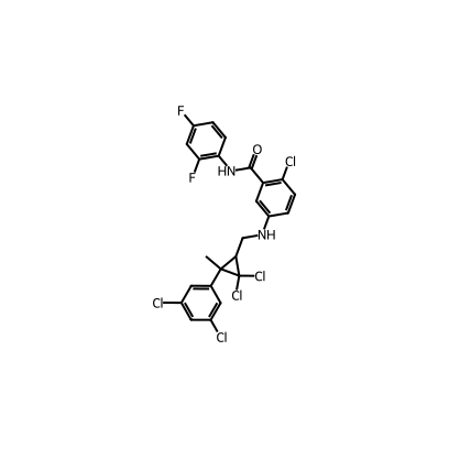 CC1(c2cc(Cl)cc(Cl)c2)C(CNc2ccc(Cl)c(C(=O)Nc3ccc(F)cc3F)c2)C1(Cl)Cl